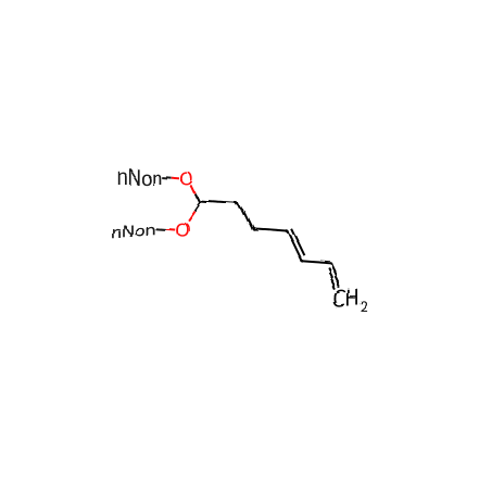 C=C/C=C/CCC(OCCCCCCCCC)OCCCCCCCCC